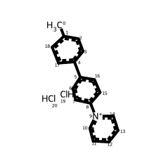 Cc1ccc(-c2ccc(-[n+]3ccccc3)cc2)cc1.Cl.Cl